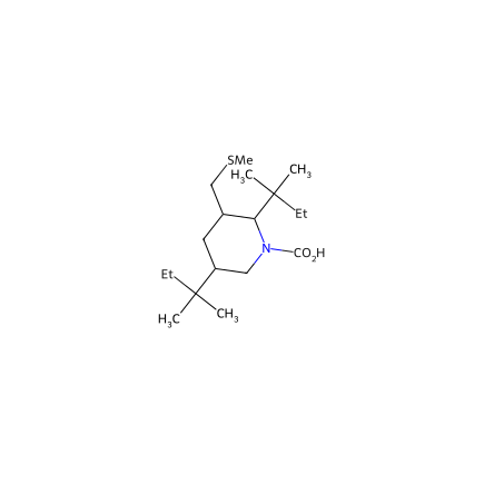 CCC(C)(C)C1CC(CSC)C(C(C)(C)CC)N(C(=O)O)C1